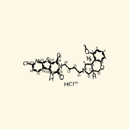 COc1cccc2c1[C@@H]1CN(CCCCn3c(=O)[nH]c4c(sc5nc(Cl)ccc54)c3=O)C[C@H]1CO2.Cl